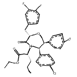 CCC[C@H](C(=O)OCC)N1C(=O)[C@H](Cc2ccc(I)c(F)c2)O[C@@H](c2ccc(Cl)cc2)[C@H]1c1ccc(Cl)cc1